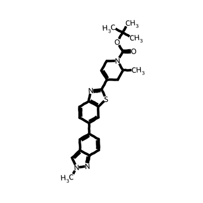 CC1CC(c2nc3ccc(-c4ccc5nn(C)cc5c4)cc3s2)=CCN1C(=O)OC(C)(C)C